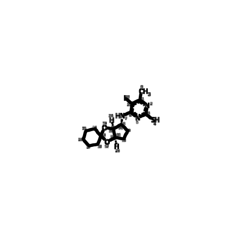 Cc1nc(S)nc(N[C@@H]2CC[C@H]3OC4(CCCCC4)O[C@@H]23)c1I